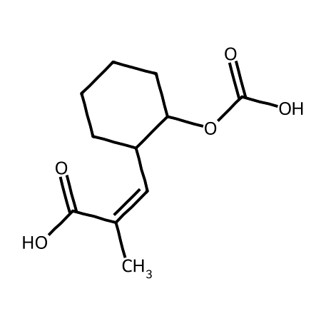 CC(=CC1CCCCC1OC(=O)O)C(=O)O